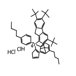 Cl.Cl.[CH2]=[Zr]([C]1=CC=CC1)([c]1ccc(CCCC)cc1)([c]1ccc(CCCC)cc1)[c]1c2c(cc(C(C)(C)C)c1C(C)(C)C)-c1cc(C(C)(C)C)c(C(C)(C)C)cc1C2